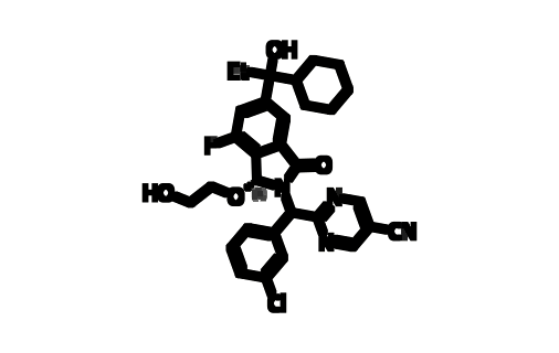 CCC(O)(c1cc(F)c2c(c1)C(=O)N(C(c1cccc(Cl)c1)c1ncc(C#N)cn1)[C@@H]2OCCO)C1CCCCC1